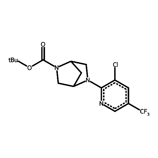 CC(C)(C)OC(=O)N1CC2CC1CN2c1ncc(C(F)(F)F)cc1Cl